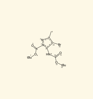 Cc1nn(C(=O)OC(C)(C)C)c(NC(=O)OC(C)(C)C)c1Br